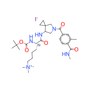 CNC(=O)c1ccc(C(=O)N2CC(NC(=O)[C@H](CCCC[N+](C)(C)C)NC(=O)OC(C)(C)C)C3(CC3)C2)cc1C.[I-]